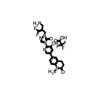 Cc1cc(-c2ccc3c(c2)CCC(=O)N3C)cnc1-n1cnn(CC(CN)=C(F)F)c1=O.O=C(O)C(F)(F)F